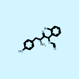 N[C@@H](Cc1ccc(O)cc1)C(=O)C(O[C]=O)c1ccccc1Br